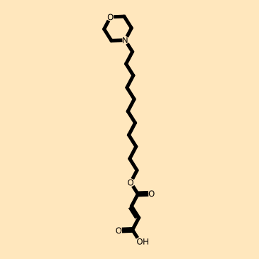 O=C(O)C=CC(=O)OCCCCCCCCCCCN1CCOCC1